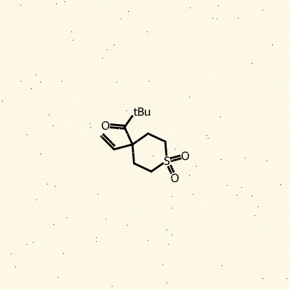 C=CC1(C(=O)C(C)(C)C)CCS(=O)(=O)CC1